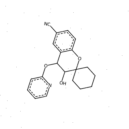 N#Cc1ccc2c(c1)C(Oc1ccccn1)C(O)C1(CCCCC1)O2